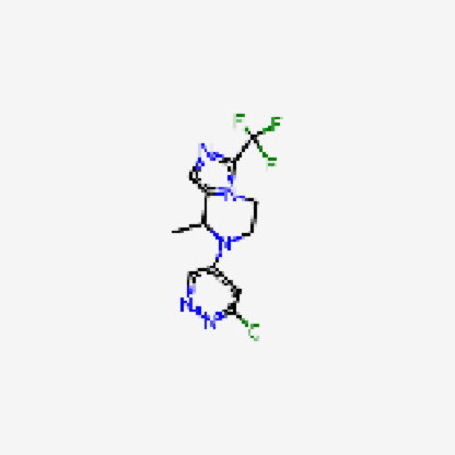 CC1c2cnc(C(F)(F)F)n2CCN1c1cnnc(Cl)c1